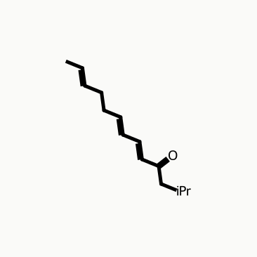 CC=CCCC=CC=CC(=O)CC(C)C